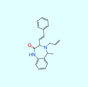 C=CCN1C(C=Cc2ccccc2)C(=O)Nc2ccccc2C1C